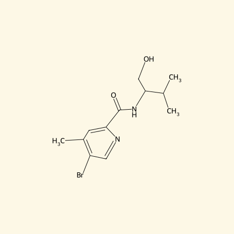 Cc1cc(C(=O)NC(CO)C(C)C)ncc1Br